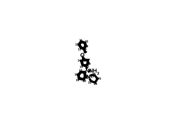 NN(c1ccc(OCc2ccccc2)cc1)c1ccccc1N1CCCCC1